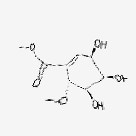 COC(=O)C1=C[C@@H](O)[C@@H](O)[C@@H](O)[C@@H]1OC